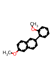 COc1ccc2cc(-c3ccccc3OC)ccc2c1